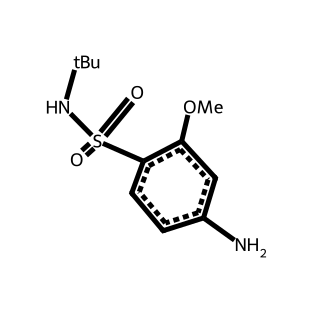 COc1cc(N)ccc1S(=O)(=O)NC(C)(C)C